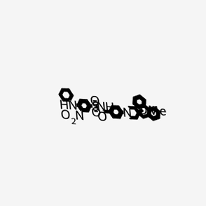 COC1(Cc2ccccc2-c2ccccc2)CCN(c2ccc(C(=O)NS(=O)(=O)c3ccc(NC4CCCCC4)c([N+](=O)[O-])c3)cc2)CC1